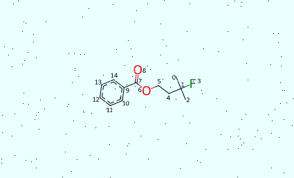 CC(C)(F)CCOC(=O)c1ccccc1